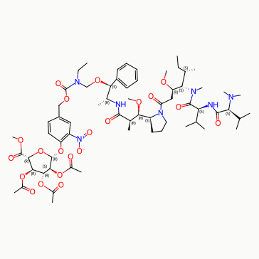 CC[C@H](C)[C@@H]([C@@H](CC(=O)N1CCC[C@H]1[C@H](OC)[C@@H](C)C(=O)N[C@H](C)[C@@H](OCN(CC)C(=O)OCc1ccc(O[C@H]2O[C@@H](C(=O)OC)[C@H](OC(C)=O)[C@@H](OC(C)=O)[C@@H]2OC(C)=O)c([N+](=O)[O-])c1)c1ccccc1)OC)N(C)C(=O)[C@@H](NC(=O)[C@H](C(C)C)N(C)C)C(C)C